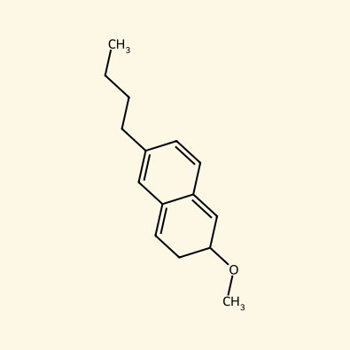 CCCCc1ccc2c(c1)=CCC(OC)C=2